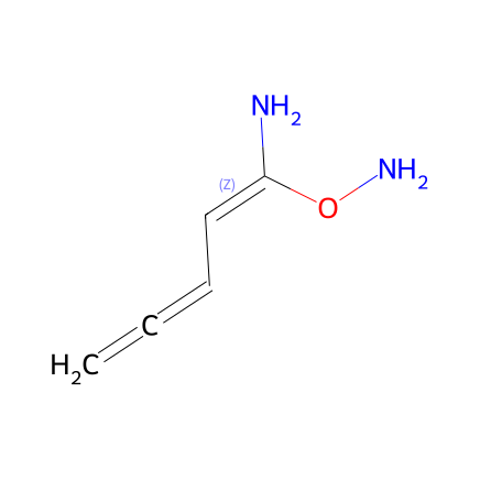 C=C=C/C=C(/N)ON